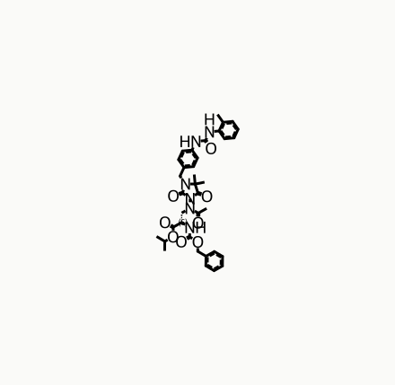 CC(=O)N(C[C@H](NC(=O)OCc1ccccc1)C(=O)OC(C)C)N1C(=O)N(Cc2ccc(NC(=O)Nc3ccccc3C)cc2)C(C)(C)C1=O